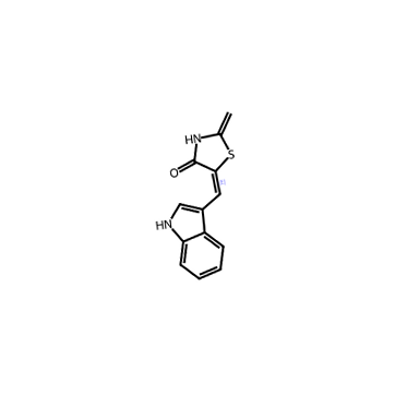 C=c1[nH]c(=O)/c(=C\c2c[nH]c3ccccc23)s1